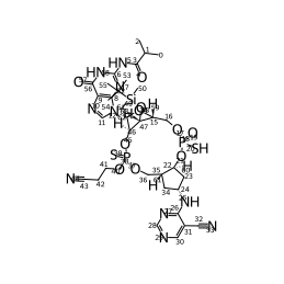 CC(C)C(=O)Nc1nc2c(ncn2[C@@H]2O[C@@H]3CO[P@@](=O)(S)O[C@H]4C[C@H](Nc5ncncc5C#N)C[C@@H]4CO[P@@](=S)(OCCC#N)O[C@@H]2[C@@H]3O[Si](C)(C)C(C)(C)C)c(=O)[nH]1